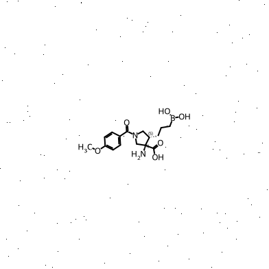 COc1ccc(C(=O)N2C[C@H](CCCB(O)O)[C@](N)(C(=O)O)C2)cc1